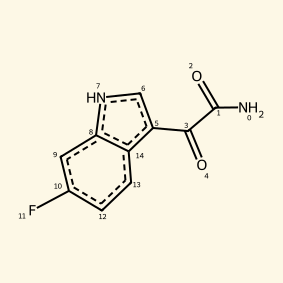 NC(=O)C(=O)c1c[nH]c2cc(F)ccc12